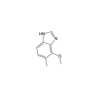 COc1c(C)ccc2[nH][c]nc12